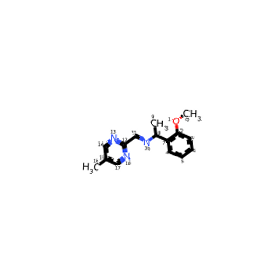 COc1ccccc1C(C)N=Cc1ncc(C)cn1